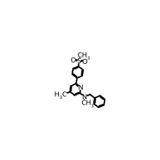 Cc1cc(-c2ccc(S(C)(=O)=O)cc2)nc(N(C)Cc2ccccc2)c1